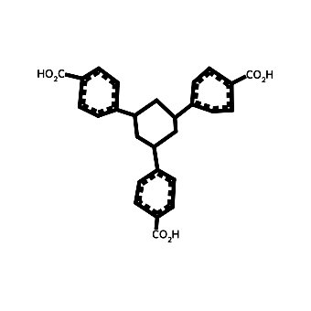 O=C(O)c1ccc(C2CC(c3ccc(C(=O)O)cc3)CC(c3ccc(C(=O)O)cc3)C2)cc1